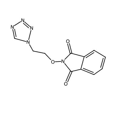 O=C1c2ccccc2C(=O)N1OCCn1cnnn1